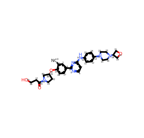 N#Cc1cc(-c2nccc(Nc3ccc(N4CCN(C5COC5)CC4)cc3)n2)ccc1O[C@@H]1CCN(C(=O)CCO)C1